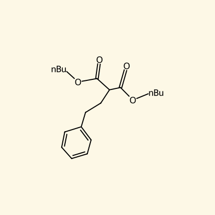 CCCCOC(=O)C(CCc1ccccc1)C(=O)OCCCC